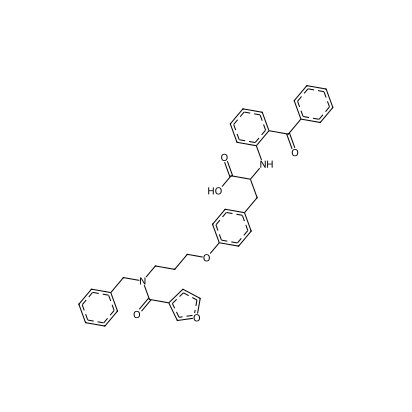 O=C(c1ccccc1)c1ccccc1NC(Cc1ccc(OCCCN(Cc2ccccc2)C(=O)c2ccoc2)cc1)C(=O)O